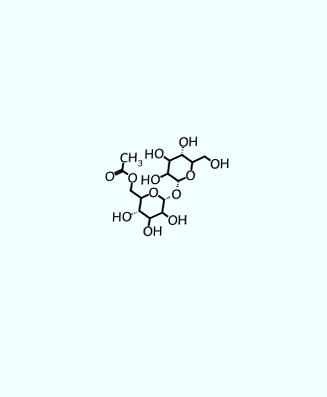 CC(=O)OCC1O[C@H](O[C@H]2OC(CO)[C@@H](O)C(O)C2O)C(O)C(O)[C@@H]1O